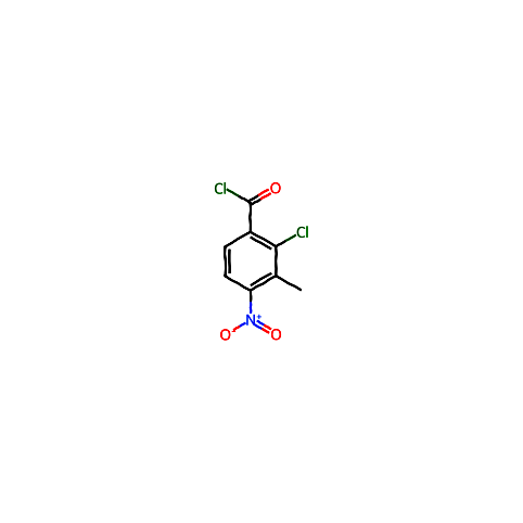 Cc1c([N+](=O)[O-])ccc(C(=O)Cl)c1Cl